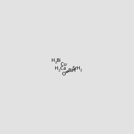 [BiH3].[CaH2].[Cu].[O]=[BiH].[SrH2]